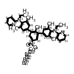 CC=[N+](c1ccccn1)c1c(C)cc(-c2cc([N+](=O)[O-])cc(-c3cc(C)c([N+](=CC)c4ccccn4)c(C)c3)c2C)cc1C.[Br-].[Br-].[Br-].[Br-].[Cu].[Cu]